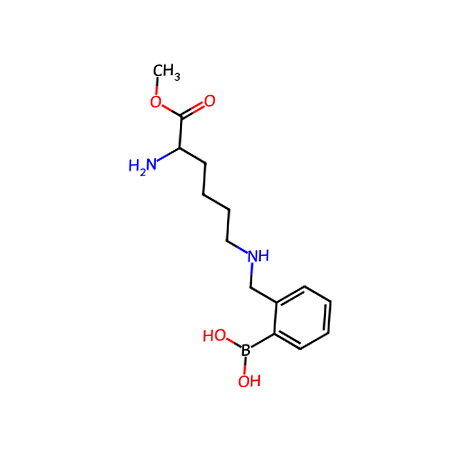 COC(=O)C(N)CCCCNCc1ccccc1B(O)O